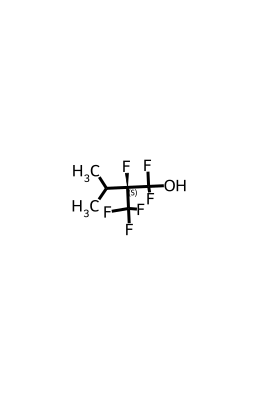 CC(C)[C@](F)(C(O)(F)F)C(F)(F)F